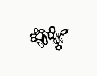 c1ccc(-c2nc(-c3ccccc3)nc(-c3ccc(-c4ccc5oc6ccc7ccc8oc9cccc%10c9c8c7c6c5c4-%10)c4ccccc34)n2)cc1